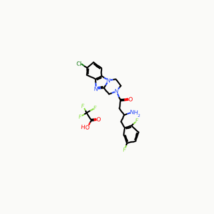 NC(CC(=O)N1CCn2c(nc3cc(Cl)ccc32)C1)Cc1cc(F)ccc1F.O=C(O)C(F)(F)F